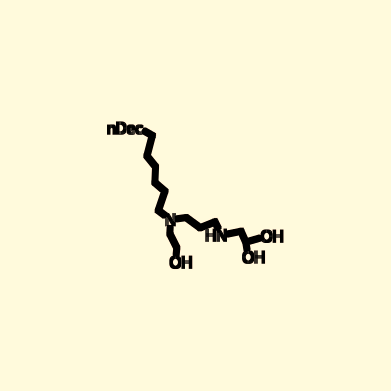 CCCCCCCCCCCCCCCCN(CCO)CCCNCC(O)O